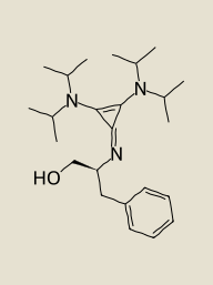 CC(C)N(c1c(N(C(C)C)C(C)C)c1=N[C@H](CO)Cc1ccccc1)C(C)C